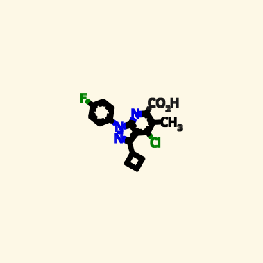 Cc1c(C(=O)O)nc2c(c(C3CCC3)nn2-c2ccc(F)cc2)c1Cl